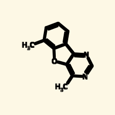 Cc1cccc2c1oc1c(C)ncnc12